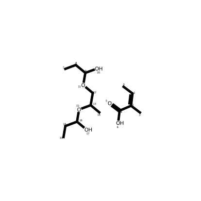 CC=C(C)C(=O)O.CCC(O)OCC(C)OC(O)CC